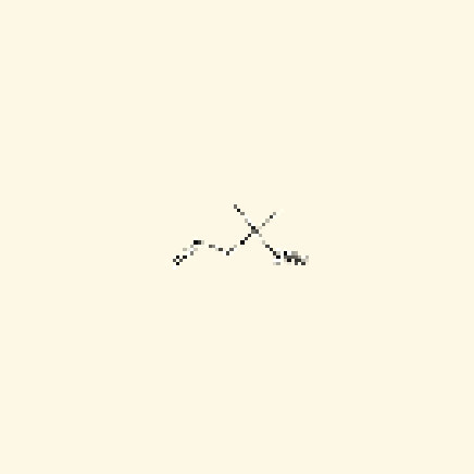 [CH]=CCC(C)(C)SC